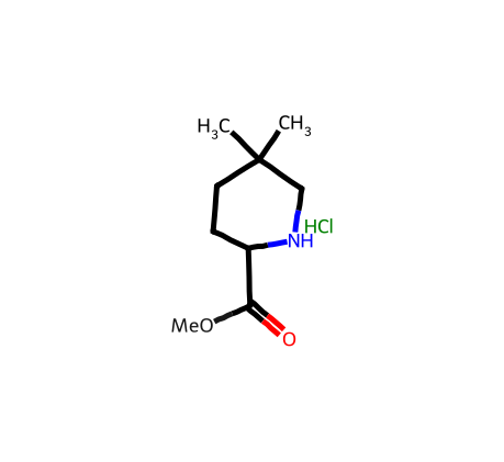 COC(=O)C1CCC(C)(C)CN1.Cl